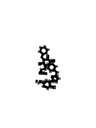 COCCN1C(=O)C(CC2CCCCC2)NC(=O)C12CCN(Cc1ccc(-c3cc(C(F)(F)F)ccc3Cl)o1)CC2